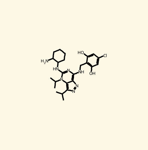 CC(C)c1nnc2c(NCc3c(O)cc(Cl)cc3O)nc(NC3CCCCC3N)n(C(C)C)c1-2